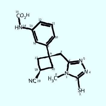 Cn1c(S)nnc1C[C@]1(c2cccc(NC(=O)O)c2)C[C@H](C#N)C1